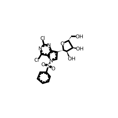 O=S(=O)(c1ccccc1)n1cc([C@@H]2O[C@H](CO)[C@@H](O)[C@H]2O)c2nc(Cl)nc(Cl)c21